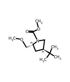 COC[C@H]1C[C@H](C(C)(C)C)CN1C(=O)OC